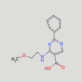 COCCNc1nc(-c2ccccc2)ncc1C(=O)O